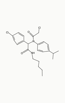 CCCCCNC(=O)C(c1ccc(Cl)cc1)N(C(=O)CCl)c1ccc(C(C)C)cc1